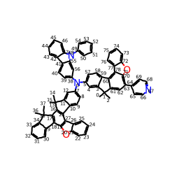 CC1(C)c2cc(N(c3ccc4c(c3)C(C)(C)c3c5c(c6oc7ccccc7c6c3-4)-c3ccccc3C5(C)C)c3ccc4c5ccccc5n(-c5ccccc5)c4c3)ccc2-c2c1cc(-c1ccncc1)c1oc3ccccc3c21